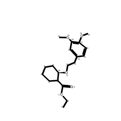 CCOC(=O)C1CCCC[C@H]1OCCc1ccc(OC)c(OC)c1